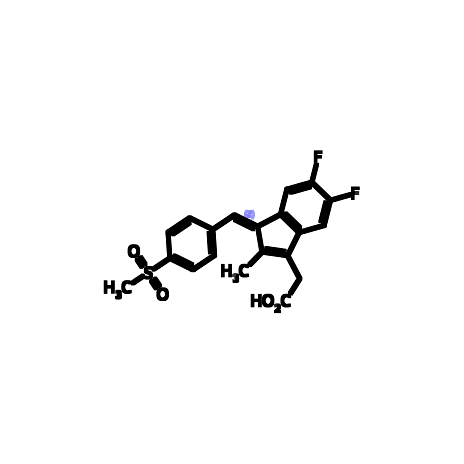 CC1=C(CC(=O)O)c2cc(F)c(F)cc2/C1=C/c1ccc(S(C)(=O)=O)cc1